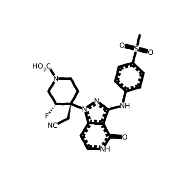 CS(=O)(=O)c1ccc(Nc2nn([C@@]3(CC#N)CCN(C(=O)O)C[C@H]3F)c3cc[nH]c(=O)c23)cc1